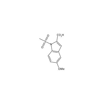 COc1ccc2c(c1)cc(C(=O)O)n2S(C)(=O)=O